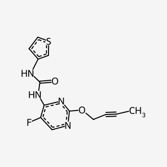 CC#CCOc1ncc(F)c(NC(=O)Nc2ccsc2)n1